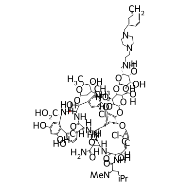 C=C/C=C(\C=C/I)CN1CCN(CCNC[C@H]2O[C@@H](O[C@H]3[C@H](O)[C@@H](O)[C@H](Oc4c5cc6cc4Oc4ccc(cc4Cl)[C@@H](O[C@H]4C[C@](C)(N)[C@@H](O)[C@H](C)O4)[C@@H]4NC(=O)[C@H](NC(=O)[C@@H]6NC(=O)[C@H](CC(N)=O)NC(=O)C(NC(=O)[C@@H](CC(C)C)NC)[C@H](O)c6ccc(c(Cl)c6)O5)c5ccc(O)c(c5)-c5c(O)cc(O)cc5[C@H](C(=O)O)NC4=O)O[C@@H]3CO)[C@H](O)[C@@H](O)[C@H]2O)CC1